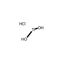 Cl.[OH][Ti][OH]